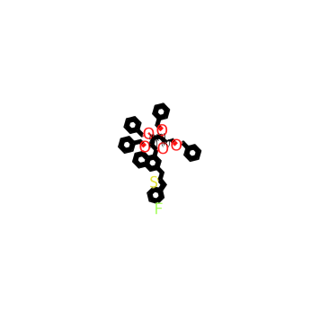 Fc1ccc2sc(Cc3cc(C4O[C@H](COCc5ccccc5)[C@H](OCc5ccccc5)[C@H](OCc5ccccc5)[C@@H]4OCc4ccccc4)c4ccccc4c3)cc2c1